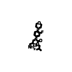 CC(C)COC(=O)N(CC(O)CN)c1ccc(N2CCOCC2)c(F)c1